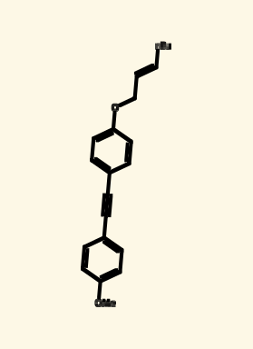 CCCCC=CCOc1ccc(C#Cc2ccc(OC)cc2)cc1